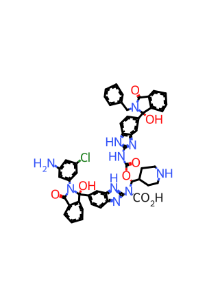 Nc1cc(Cl)cc(N2C(=O)c3ccccc3C2(O)c2ccc3nc(N(C(=O)O)C(OC(=O)Nc4nc5cc(C6(O)c7ccccc7C(=O)N6Cc6ccccc6)ccc5[nH]4)C4CCNCC4)[nH]c3c2)c1